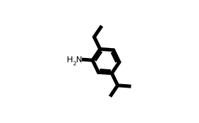 CCc1ccc(C(C)C)cc1N